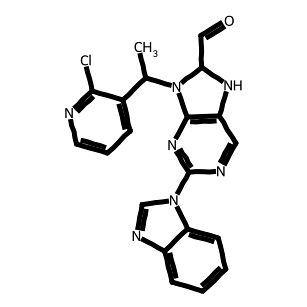 CC(c1cccnc1Cl)N1c2nc(-n3cnc4ccccc43)ncc2NC1C=O